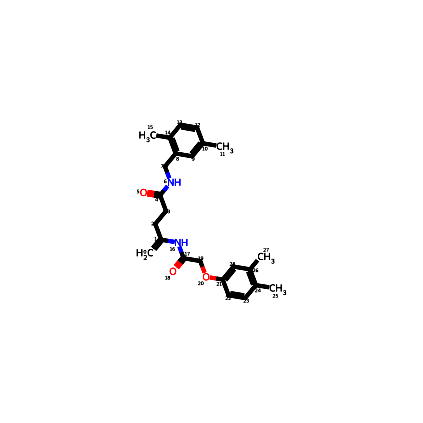 C=C(CCC(=O)NCc1cc(C)ccc1C)NC(=O)COc1ccc(C)c(C)c1